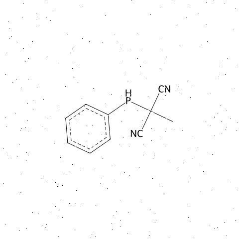 CC(C#N)(C#N)Pc1ccccc1